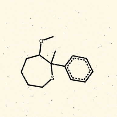 COC1CCCCSC1(C)c1ccccc1